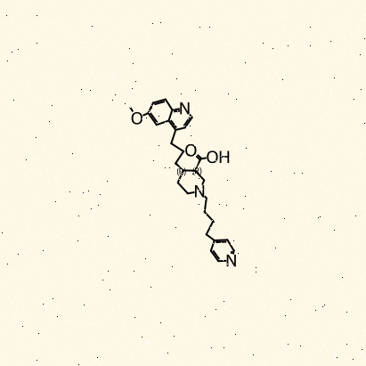 COc1ccc2nccc(CCC[C@@H]3CCN(CCCCc4ccncc4)C[C@@H]3C(=O)O)c2c1